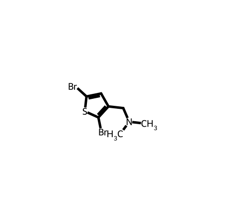 CN(C)Cc1cc(Br)sc1Br